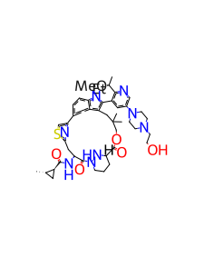 CCn1c(-c2cc(N3CCN(CCO)CC3)cnc2[C@H](C)OC)c2c3cc(ccc31)-c1csc(n1)C[C@H](NC(=O)[C@H]1C[C@@H]1C)C(=O)N1CCC[C@H](N1)C(=O)OCC(C)(C)C2